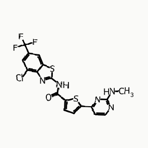 CNc1nccc(-c2ccc(C(=O)Nc3nc4c(Cl)cc(C(F)(F)F)cc4s3)s2)n1